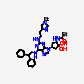 CCC(=O)N[C@H]1C[C@@H](n2cnc3c(NCC(c4ccccc4)c4ccccc4)nc(NCCc4cn(CC)cn4)nc32)CC1(O)O